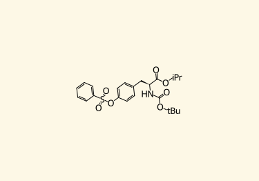 CC(C)OC(=O)[C@H](Cc1ccc(OS(=O)(=O)c2ccccc2)cc1)NC(=O)OC(C)(C)C